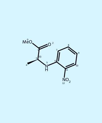 COC(=O)[C@H](C)Nc1ccccc1[N+](=O)[O-]